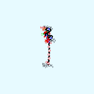 CC(C)(C)OC(=O)CCOCCOCCOCCOCCC(=O)N1CCN(CCN2C(=O)c3c(Cl)ccc(Cl)c3C23c2cc4c5c(c2Oc2c3cc3c6c2CCCN6C(C)(C)C=C3CS(=O)(=O)O)CCCN5C(C)(C)C=C4CS(=O)(=O)O)CC1